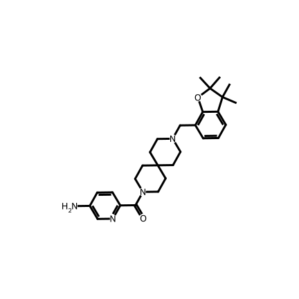 CC1(C)Oc2c(CN3CCC4(CC3)CCN(C(=O)c3ccc(N)cn3)CC4)cccc2C1(C)C